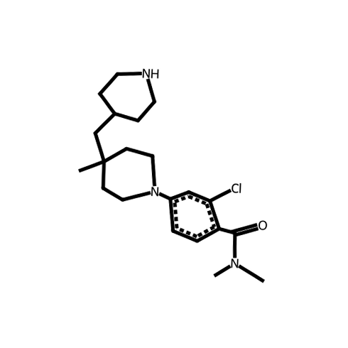 CN(C)C(=O)c1ccc(N2CCC(C)(CC3CCNCC3)CC2)cc1Cl